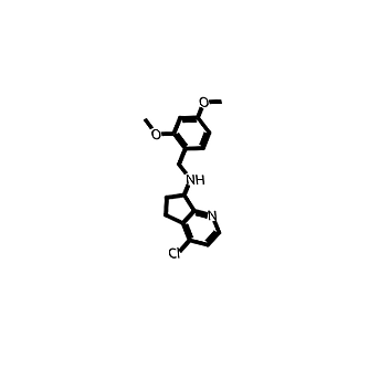 COc1ccc(CNC2CCc3c(Cl)ccnc32)c(OC)c1